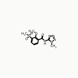 COc1c(C(=O)Nc2nnnn2C)cccc1S(C)(=O)=O